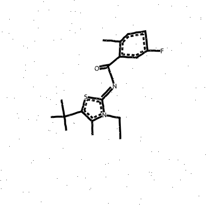 CCn1c(C)c(C(C)(C)C)s/c1=N\C(=O)c1cc(F)ccc1C